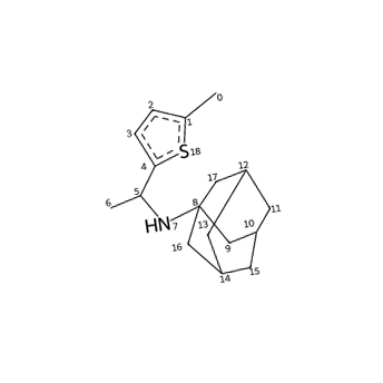 Cc1ccc(C(C)NC23CC4CC(CC(C4)C2)C3)s1